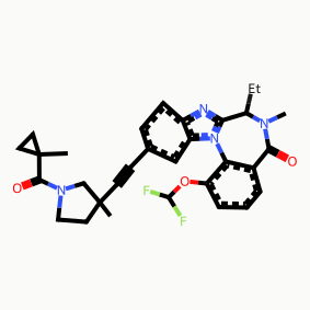 CCC1c2nc3ccc(C#CC4(C)CCN(C(=O)C5(C)CC5)C4)cc3n2-c2c(OC(F)F)cccc2C(=O)N1C